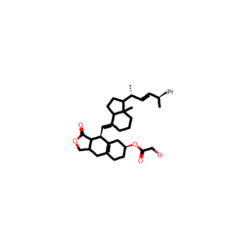 CC(C)[C@@H](C)/C=C/[C@@H](C)C1CCC2/C(=C/[C@H]3C4=C(CC[C@H](OC(=O)CBr)C4)CC4COC(=O)C43)CCCC21C